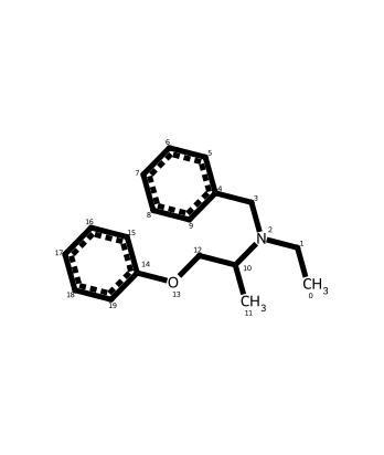 CCN(Cc1ccccc1)C(C)COc1ccccc1